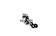 NC(=O)C1CC12CNC(C(=O)N1CCC3=C(CCc4ccccc43)C1)C(C(=O)O)C2